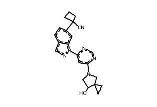 N#CC1(c2ccc3cnn(-c4cc(N5CC(O)C6(CC6)C5)ncn4)c3c2)CCC1